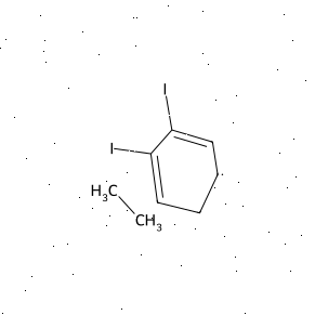 CC.IC1=C[CH]CC=C1I